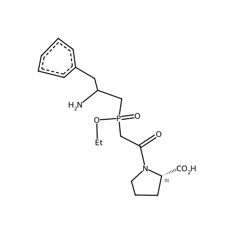 CCOP(=O)(CC(=O)N1CCC[C@H]1C(=O)O)CC(N)Cc1ccccc1